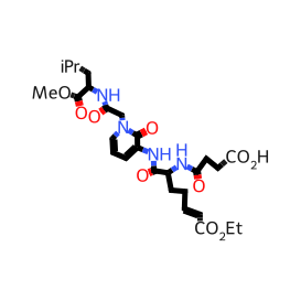 CCOC(=O)C=CCCC(NC(=O)CCC(=O)O)C(=O)Nc1cccn(CC(=O)NC(CC(C)C)C(=O)OC)c1=O